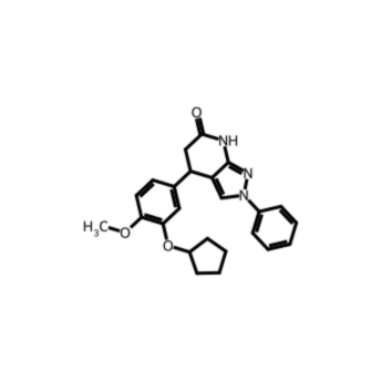 COc1ccc(C2CC(=O)Nc3nn(-c4ccccc4)cc32)cc1OC1CCCC1